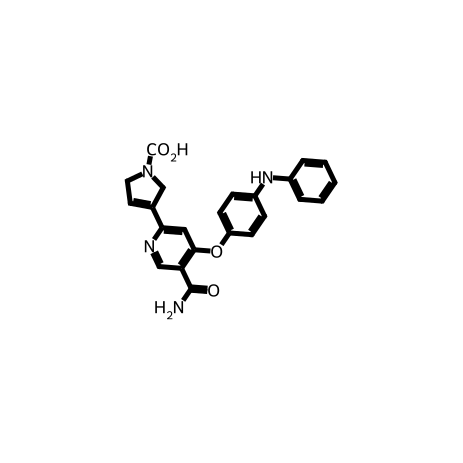 NC(=O)c1cnc(C2=CCN(C(=O)O)C2)cc1Oc1ccc(Nc2ccccc2)cc1